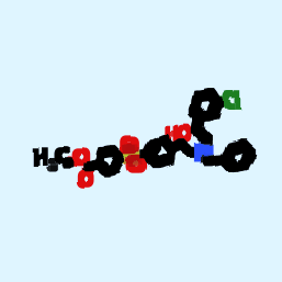 CCOC(=O)c1ccc(S(=O)(=O)c2ccc(CCN(Cc3ccccc3)C[C@@H](O)c3cccc(Cl)c3)cc2)cc1